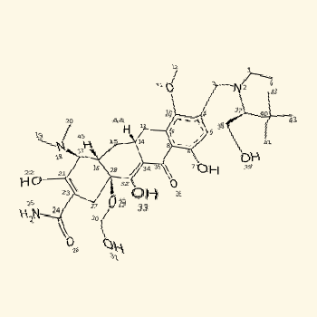 CCN(Cc1cc(O)c2c(c1OC)C[C@H]1C[C@H]3[C@H](N(C)C)C(O)=C(C(N)=O)C[C@@]3(OCO)C(O)=C1C2=O)[C@H](CO)C(C)(C)C